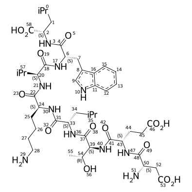 CC(C)C[C@H](NC(=O)[C@H](Cc1c[nH]c2ccccc12)NC(=O)[C@@H](NC(=O)[C@H](CCCCN)NC(=O)[C@H](CC(C)C)NC(=O)[C@@H](NC(=O)[C@H](CCC(=O)O)NC(=O)[C@@H](N)CC(=O)O)[C@@H](C)O)C(C)C)C(=O)O